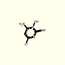 N=c1nc(Cl)cc(N)n1O